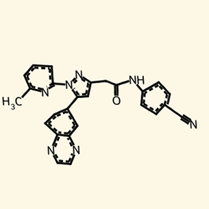 Cc1cccc(-n2nc(CC(=O)Nc3ccc(C#N)cc3)cc2-c2ccc3nccnc3c2)n1